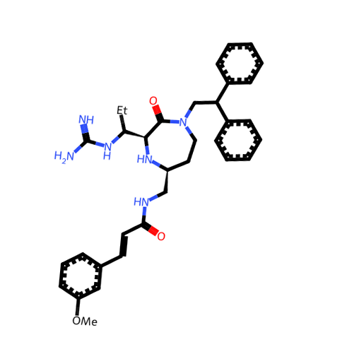 CCC(NC(=N)N)[C@@H]1N[C@H](CNC(=O)/C=C/c2cccc(OC)c2)CCN(CC(c2ccccc2)c2ccccc2)C1=O